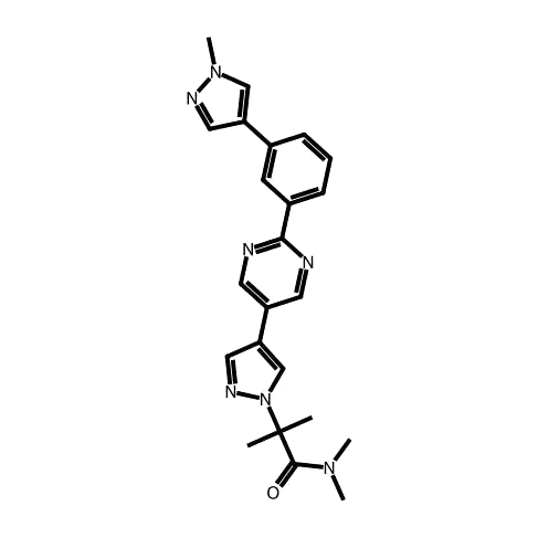 CN(C)C(=O)C(C)(C)n1cc(-c2cnc(-c3cccc(-c4cnn(C)c4)c3)nc2)cn1